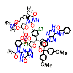 COc1ccc(C(OC[C@@H]2O[C@@H](n3cnc4c3N=CNC4NC(=O)c3ccccc3)C[C@H]2C(c2cc[c]c(Cl)c2)[C@H]2O[C@@H](n3cnc4c(=O)[nH]c(NC(=O)C(C)C)nc43)C[C@@H]2OP(=O)(OC[C@H]2O[C@@H](n3cc(C)c(=O)[nH]c3=O)C[C@@H]2OP(OCCC#N)N(C(C)C)C(C)C)Oc2ccccc2Cl)(c2ccccc2)c2ccc(OC)cc2)cc1